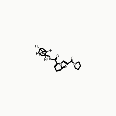 CC1(C)[C@H]2CC[C@@H](CNC(=O)c3cccc4nc(C(=O)N5CCCC5)cn34)[C@H]1C2